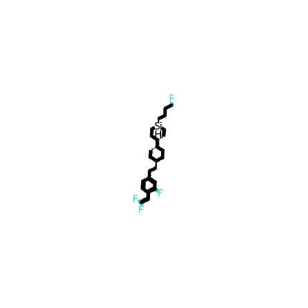 FCCCC[Si@H]1CC[C@H]([C@H]2CC[C@H](CCc3ccc(C=C(F)F)c(F)c3)CC2)CC1